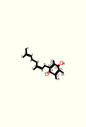 CC(C)=CCCC(C)=CCC1=C(C)C(=O)C(C)=C(C)C1=O